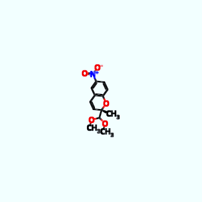 COC(OC)[C@]1(C)C=Cc2cc([N+](=O)[O-])ccc2O1